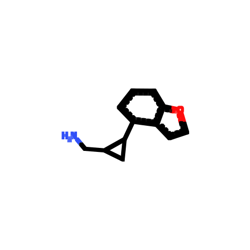 NCC1CC1c1cccc2occc12